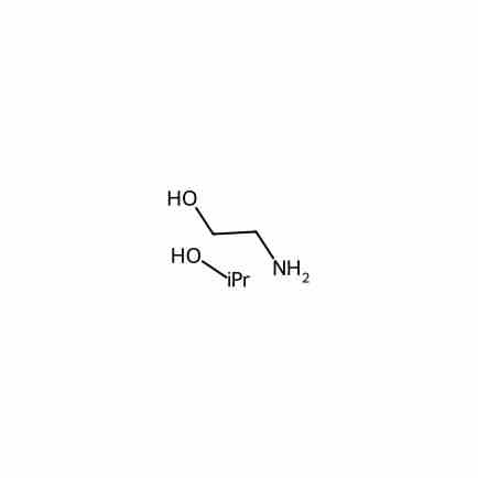 CC(C)O.NCCO